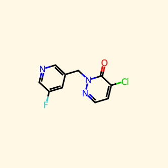 O=c1c(Cl)ccnn1Cc1cncc(F)c1